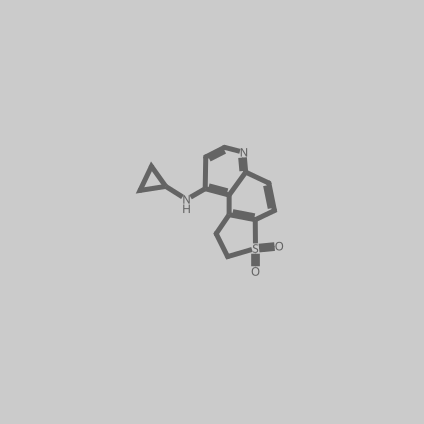 O=S1(=O)CCc2c1ccc1nccc(NC3CC3)c21